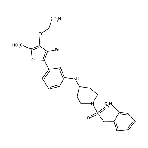 O=C(O)COc1c(C(=O)O)sc(-c2cccc(NC3CCN(S(=O)(=O)Cc4ccccc4[N+](=O)[O-])CC3)c2)c1Br